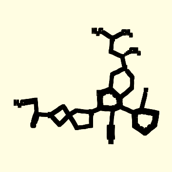 C=CC(=O)N1CC2(CCN(c3nc4c(c(-c5ccccc5F)c3C#N)CCN([C@@H](C)CN(C)C)C4)C2)C1